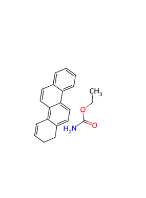 C1=Cc2c(ccc3c2ccc2ccccc23)CC1.CCOC(N)=O